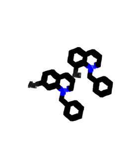 CC(=O)c1ccc2ccc[n+](Cc3ccccc3)c2c1.CC(=O)c1cccc2ccc[n+](Cc3ccccc3)c12